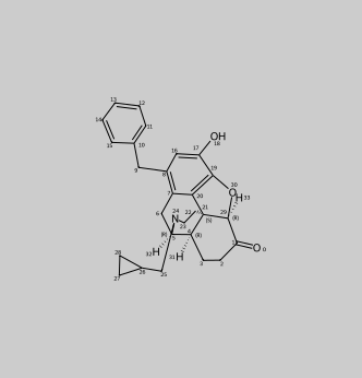 O=C1CC[C@H]2[C@H]3Cc4c(Cc5ccccc5)cc(O)c5c4[C@@]2(CCN3CC2CC2)[C@H]1O5